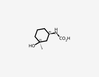 C[C@]1(O)CCC[C@@H](NC(=O)O)C1